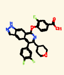 O=C(O)c1ccc(Oc2nc(C3CCOCC3)c(-c3ccc(F)c(F)c3)c3cc4cn[nH]c4cc23)c(F)c1